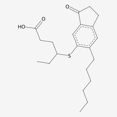 CCCCCCc1cc2c(cc1SC(CC)CCC(=O)O)C(=O)CC2